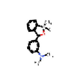 CN(C)c1cccc(C2O[Si](C)(C)c3ccccc32)c1